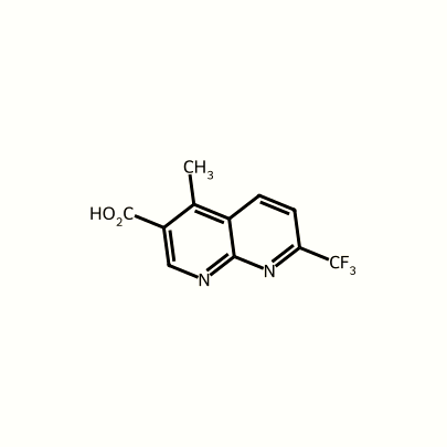 Cc1c(C(=O)O)cnc2nc(C(F)(F)F)ccc12